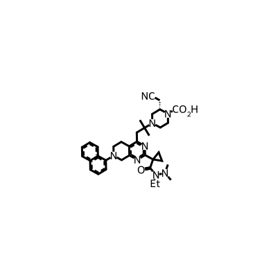 CCN(C(=O)C1(c2nc3c(c(CC(C)(C)N4CCN(C(=O)O)[C@@H](CC#N)C4)n2)CCN(c2cccc4ccccc24)C3)CC1)N(C)C